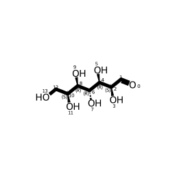 O=C[C@@H](O)[C@H](O)[C@H](O)[C@H](O)[C@@H](O)CO